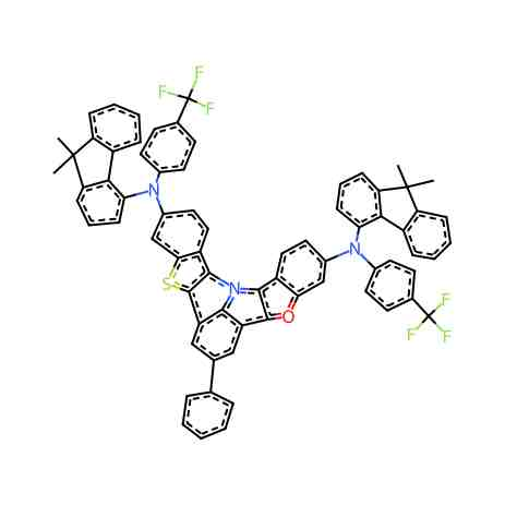 CC1(C)c2ccccc2-c2c(N(c3ccc(C(F)(F)F)cc3)c3ccc4c(c3)oc3c5cc(-c6ccccc6)cc6c7sc8cc(N(c9ccc(C(F)(F)F)cc9)c9cccc%10c9-c9ccccc9C%10(C)C)ccc8c7n(c56)c43)cccc21